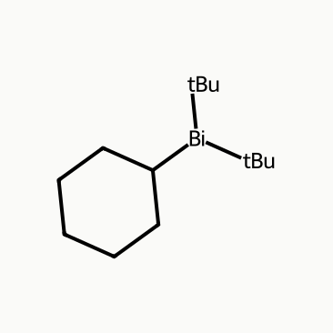 C[C](C)(C)[Bi]([CH]1CCCCC1)[C](C)(C)C